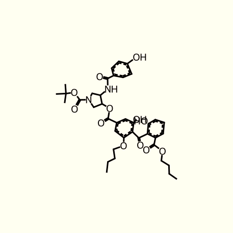 CCCCOC(=O)c1cccc(O)c1C(=O)c1c(O)cc(C(=O)OC2CN(C(=O)OC(C)(C)C)CC2NC(=O)c2ccc(O)cc2)cc1OCCCC